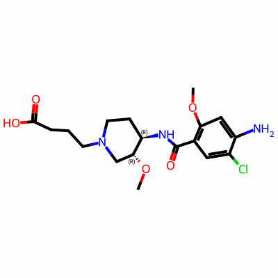 COc1cc(N)c(Cl)cc1C(=O)N[C@@H]1CCN(CCCC(=O)O)C[C@H]1OC